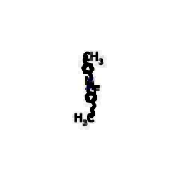 CCCCc1ccc(/C=N/N=C/c2ccc(CC)cc2)c(F)c1